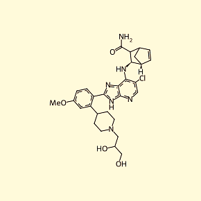 COc1ccc(-c2nc3c(N[C@H]4C(C(N)=O)C5C=C[C@H]4C5)c(Cl)cnc3[nH]2)c(C2CCN(CC(O)CO)CC2)c1